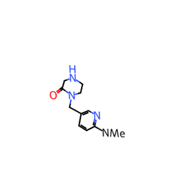 CNc1ccc(CN2CCNCC2=O)cn1